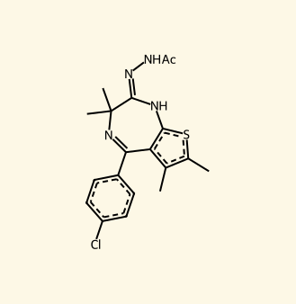 CC(=O)N/N=C1\Nc2sc(C)c(C)c2C(c2ccc(Cl)cc2)=NC1(C)C